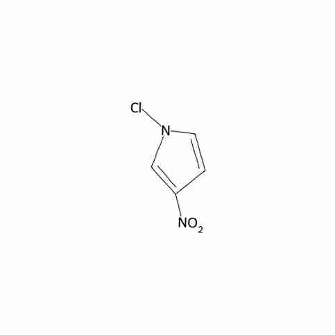 O=[N+]([O-])c1ccn(Cl)c1